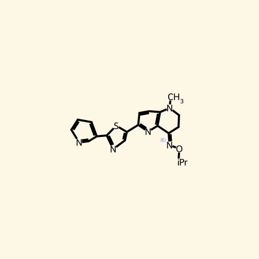 CC(C)O/N=C1\CCN(C)c2ccc(-c3cnc(-c4cccnc4)s3)nc21